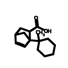 CC1(C23C=CC(CC2C(=O)O)C3)CCCCC1